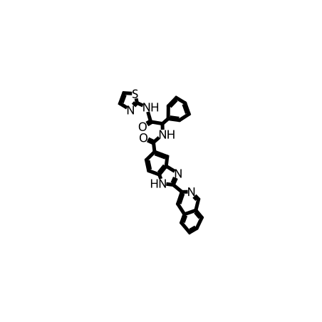 O=C(NC(C(=O)Nc1nccs1)c1ccccc1)c1ccc2[nH]c(-c3cc4ccccc4cn3)nc2c1